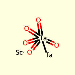 [O]=[Ta](=[O])(=[O])(=[O])(=[O])[Ta].[Sc]